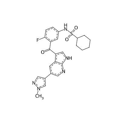 Cn1cc(-c2cnc3[nH]cc(C(=O)c4cc(NS(=O)(=O)C5CCCCC5)ccc4F)c3c2)cn1